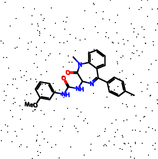 COc1cccc(NC(=O)NC2N=C(c3ccc(C)cc3)c3ccccc3N(C)C2=O)c1